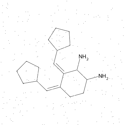 NC1CCC(=CC2CCCC2)C(=CC2CCCC2)C1N